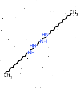 CCCCCCCCCCCCNCCNCCNCCNCCCCCCCCCCCC